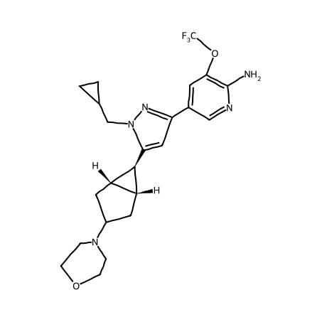 Nc1ncc(-c2cc([C@H]3[C@@H]4CC(N5CCOCC5)C[C@@H]43)n(CC3CC3)n2)cc1OC(F)(F)F